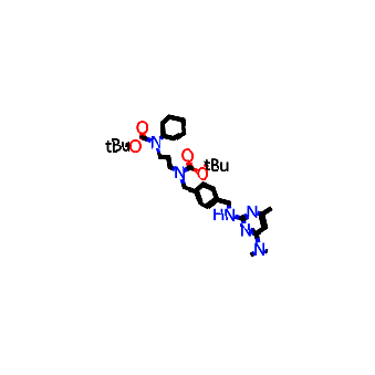 Cc1cc(N(C)C)nc(NCc2ccc(CN(CCCN(C(=O)OC(C)(C)C)C3CCCCC3)C(=O)OC(C)(C)C)cc2)n1